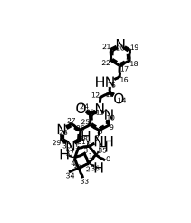 C[C@@H]1[C@H]2C[C@@H](C[C@H]1Nc1cnn(CC(=O)NCc3ccncc3)c(=O)c1-c1cncnc1)C2(C)C